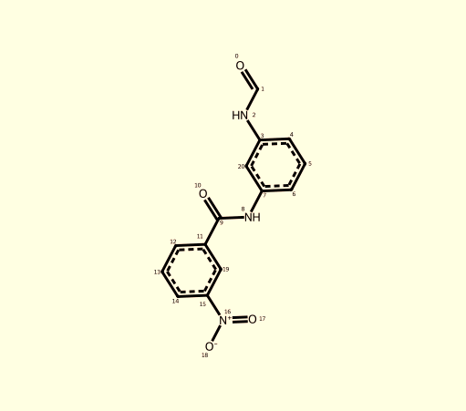 O=CNc1cccc(NC(=O)c2cccc([N+](=O)[O-])c2)c1